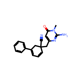 Cn1c(N)nc(CC2(C#N)C=CC=C(c3ccccc3)C2)cc1=O